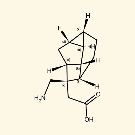 NC[C@@]1(CC(=O)O)[C@@H]2C[C@@]3(F)[C@@H]4[C@@H]2[C@@H]1CC[C@H]43